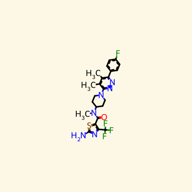 Cc1c(-c2ccc(F)cc2)nnc(N2CCC(N(C)C(=O)c3sc(N)nc3C(F)(F)F)CC2)c1C